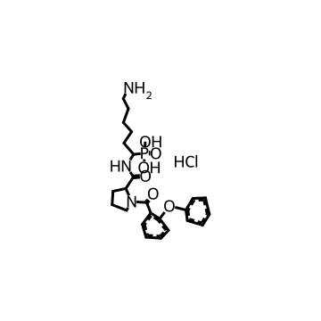 Cl.NCCCCCC(NC(=O)C1CCCN1C(=O)c1ccccc1Oc1ccccc1)P(=O)(O)O